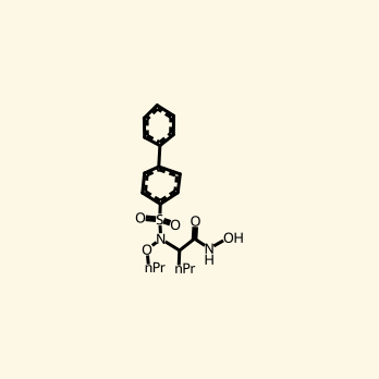 CCCON(C(CCC)C(=O)NO)S(=O)(=O)c1ccc(-c2ccccc2)cc1